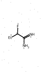 CCC(F)C(=N)N